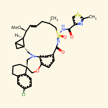 CO[C@H]1/C=C/C[C@H](C)C[S@@](=O)(NC(=O)c2csc(C)n2)=NC(=O)c2ccc3c(c2)N(C[C@@]2(CCCc4cc(Cl)ccc42)CO3)C[C@]23CC2[C@@H]13